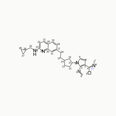 C=Nc1c(/C(Cl)=N\C)ccn1C1CCC(CCc2ccc3ccc(NCC4CC4)nc3c2)C1